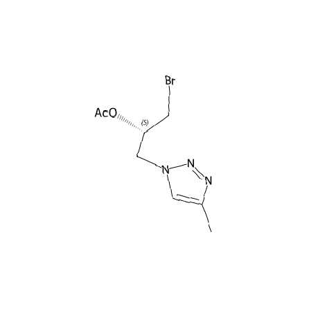 CC(=O)O[C@H](CBr)Cn1cc(C)nn1